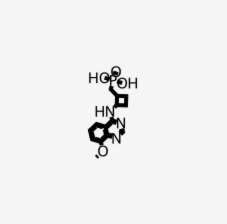 COc1cccc2c(NC3CCC3CP(=O)(O)O)ncnc12